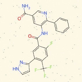 NC(=O)c1cnc(-c2ccccc2)c(NC(=O)c2cc(-c3cc[nH]n3)c(C(F)(F)F)cc2F)c1